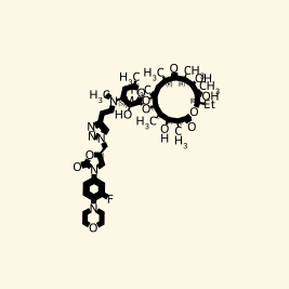 CC[C@H]1OC(=O)[C@H](C)[C@@H](O)[C@H](C)[C@@H](O[C@@H]2O[C@H](C)C[C@H](N(C)CCc3cn(C[C@H]4CN(c5ccc(N6CCOCC6)c(F)c5)C(=O)O4)nn3)[C@H]2O)[C@](C)(OC)C[C@@H](C)C(=O)[C@H](C)[C@@H](O)[C@]1(C)O